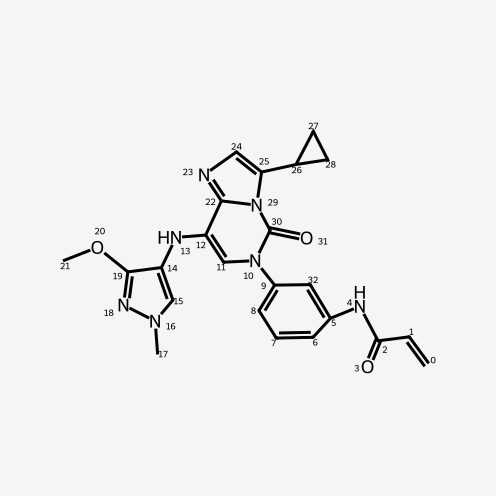 C=CC(=O)Nc1cccc(-n2cc(Nc3cn(C)nc3OC)c3ncc(C4CC4)n3c2=O)c1